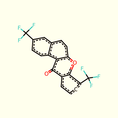 O=c1c2cccc(C(F)(F)F)c2oc2ccc3cc(C(F)(F)F)ccc3c12